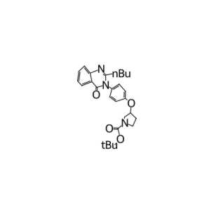 CCCCc1nc2ccccc2c(=O)n1-c1ccc(OC2CCN(C(=O)OC(C)(C)C)C2)cc1